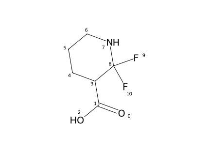 O=C(O)C1CCCNC1(F)F